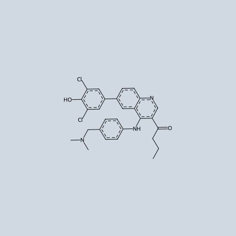 CCCC(=O)c1cnc2ccc(-c3cc(Cl)c(O)c(Cl)c3)cc2c1Nc1ccc(CN(C)C)cc1